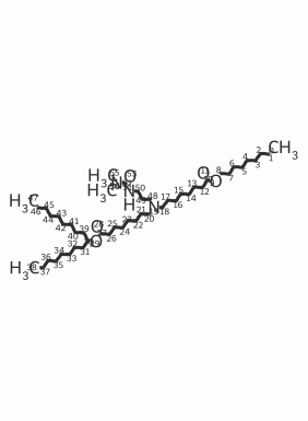 CCCCCCCCCOC(=O)CCCCCCCN(CCCCCCCC(=O)OC(CCCCCCCC)CCCCCCCCC)CCCNC(=O)N(C)C